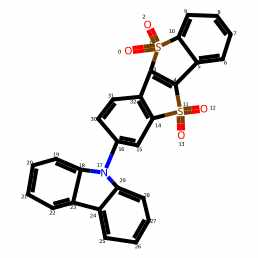 O=S1(=O)C2=C(c3ccccc31)S(=O)(=O)c1cc(-n3c4ccccc4c4ccccc43)ccc12